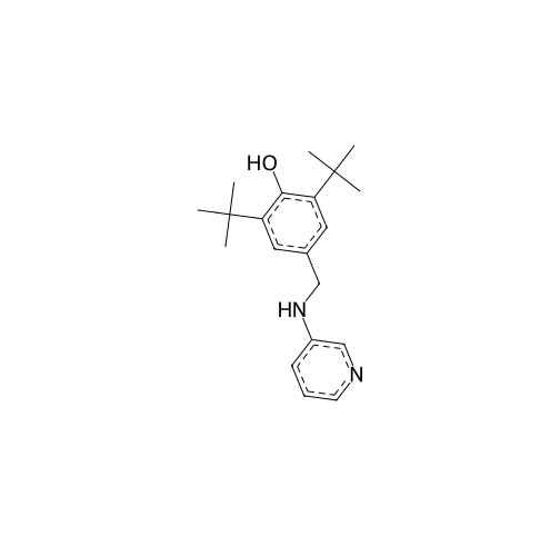 CC(C)(C)c1cc(CNc2cccnc2)cc(C(C)(C)C)c1O